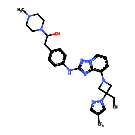 CN1CCN(C(O)Cc2ccc(Nc3nc4c(N5CC(CC#N)(n6cc(C(F)(F)F)cn6)C5)cccn4n3)cc2)CC1